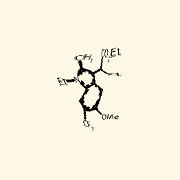 CCOC(=O)C(CC)c1c(C)n(CC)c2cc(C(F)(F)F)c(OC)cc12